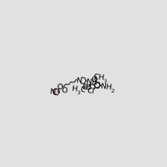 COc1cc(N)cc(Cl)c1C(=O)N[C@@H]1CCN(CCCCCC(=O)OC2CN3CCC2CC3)C[C@@H]1OC